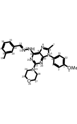 COc1ccc(-n2c(C)nc3c(N/N=C/c4cccc(C)c4)nc(N4CCOCC4)nc32)cc1